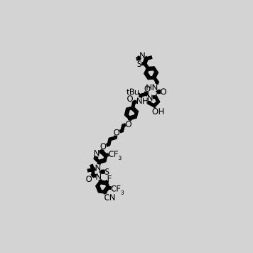 Cc1ncsc1-c1ccc(CNC(=O)[C@@H]2C[C@@H](O)CN2C(=O)[C@@H](NC(=O)c2ccc(OCCOCCCOc3ncc(N4C(=S)N(c5ccc(C#N)c(C(F)(F)F)c5F)C(=O)C4(C)C)cc3C(F)(F)F)cc2)C(C)(C)C)cc1